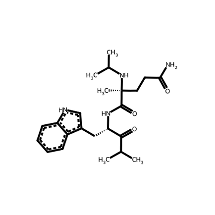 CC(C)N[C@@](C)(CCC(N)=O)C(=O)N[C@@H](Cc1c[nH]c2ccccc12)C(=O)C(C)C